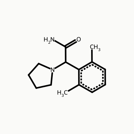 Cc1cccc(C)c1C(C(N)=O)N1CCCC1